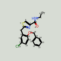 CC(C)CNC(=O)c1csc(Cc2cc(Cl)ccc2OCc2ccccc2)n1